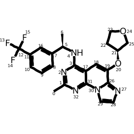 Cc1nc(N[C@H](C)c2cccc(C(F)(F)F)c2)c2cc(O[C@H]3CCOC3)c3nccn3c2n1